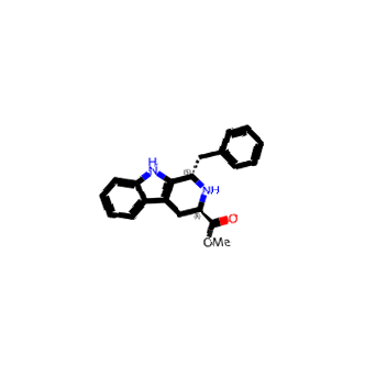 COC(=O)[C@H]1Cc2c([nH]c3ccccc23)[C@H](Cc2ccccc2)N1